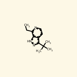 CCc1nccc2c(C(C)(C)C)n[nH]c12